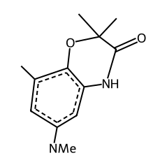 CNc1cc(C)c2c(c1)NC(=O)C(C)(C)O2